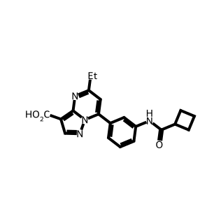 CCc1cc(-c2cccc(NC(=O)C3CCC3)c2)n2ncc(C(=O)O)c2n1